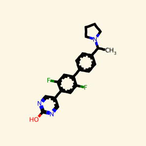 CC(c1ccc(-c2cc(F)c(-c3cnc(O)nc3)cc2F)cc1)N1CCCC1